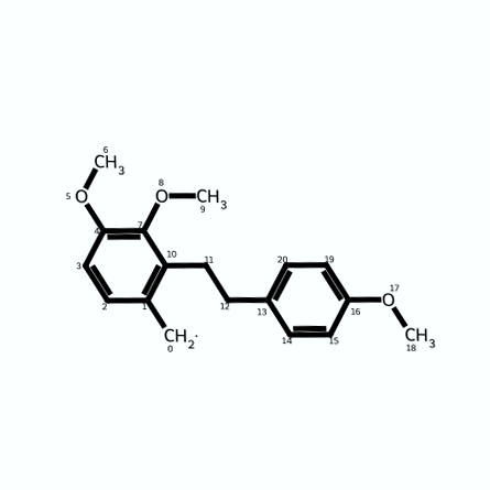 [CH2]c1ccc(OC)c(OC)c1CCc1ccc(OC)cc1